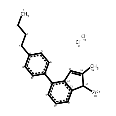 CCCCc1ccc(-c2cccc3c2C=C(C)[CH]3[Zr+2])cc1.[Cl-].[Cl-]